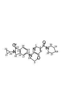 O=C(c1cnc2c(c1)OCCN2c1ccc2c(c1)CN(C1CC1)C2=O)N1CCCCC1